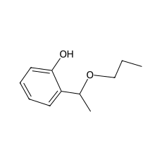 CCCOC(C)c1ccccc1O